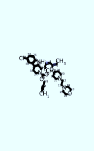 C=C(/C=C\C(=C/C)OC1CCN(CCN2CCOCC2)CC1)[C@H]1c2[nH]c3ccc(Cl)cc3c2CCN1C(=O)OCC#CC